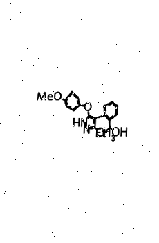 CCC(O)c1ccccc1-c1c(C)n[nH]c1Oc1ccc(OC)cc1